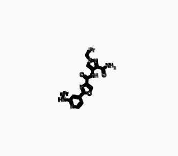 CCCNc1cc(-c2nc(C(=O)Nc3cn(CC(C)C)nc3C(N)=O)co2)ccn1